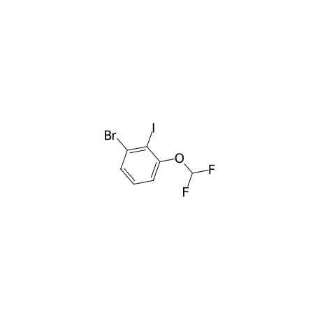 FC(F)Oc1cccc(Br)c1I